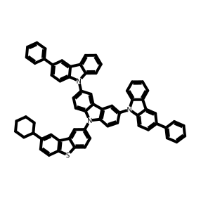 c1ccc(-c2ccc3c(c2)c2ccccc2n3-c2ccc3c(c2)c2cc(-n4c5ccccc5c5cc(-c6ccccc6)ccc54)ccc2n3-c2ccc3sc4ccc(C5CCCCC5)cc4c3c2)cc1